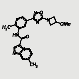 COC1CN(c2nc(-c3ccc(C)c(NC(=O)c4cnc5cc(C)ccn45)c3)no2)C1